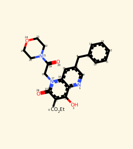 CCOC(=O)c1c(O)c2ncc(Cc3ccccc3)cc2n(CC(=O)N2CCOCC2)c1=O